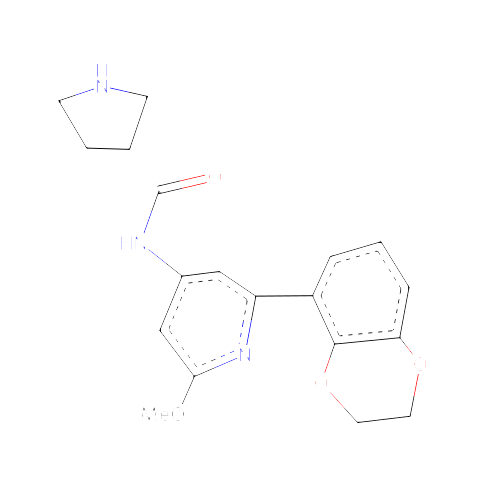 COc1cc(NC(=O)[C@@H]2CCNC2)cc(-c2cccc3c2OCCO3)n1